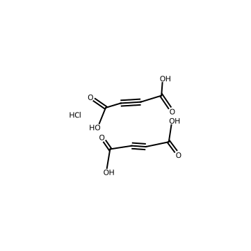 Cl.O=C(O)C#CC(=O)O.O=C(O)C#CC(=O)O